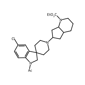 CCOC(=O)N1CCCC2CC(N3CCC4(CC3)CN(C(C)=O)c3ccc(Cl)cc34)CC21